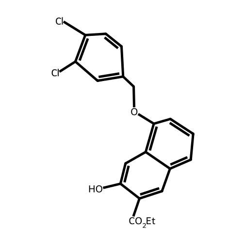 CCOC(=O)c1cc2cccc(OCc3ccc(Cl)c(Cl)c3)c2cc1O